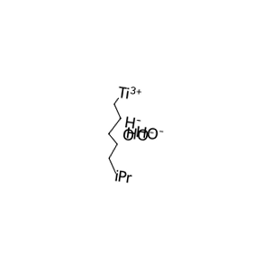 CC(C)CCCC[CH2][Ti+3].[OH-].[OH-].[OH-]